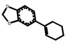 C1=C(c2ccc3c(c2)OCO3)CCCC1